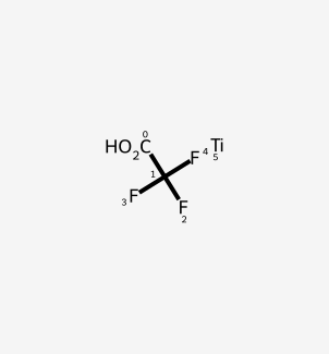 O=C(O)C(F)(F)F.[Ti]